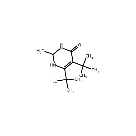 CC1NC(=O)C(C(C)(C)C)=C(C(C)(C)C)N1